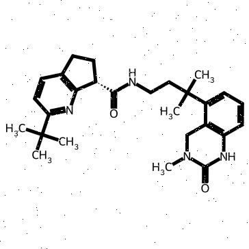 CN1Cc2c(cccc2C(C)(C)CCNC(=O)[C@H]2CCc3ccc(C(C)(C)C)nc32)NC1=O